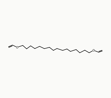 C=COCCCCCCCCCCCCCCCCOC=C